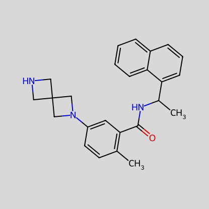 Cc1ccc(N2CC3(CNC3)C2)cc1C(=O)NC(C)c1cccc2ccccc12